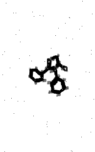 Clc1cnc(-c2ccccc2)n1-c1ccccc1